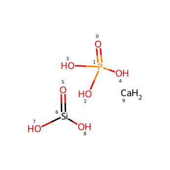 O=P(O)(O)O.O=[Si](O)O.[CaH2]